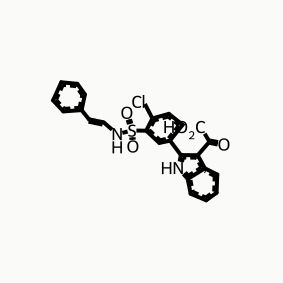 O=C(O)C(=O)c1c(-c2ccc(Cl)c(S(=O)(=O)NC=Cc3ccccc3)c2)[nH]c2ccccc12